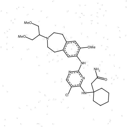 COCC(COC)N1CCc2cc(Nc3ncc(Cl)c(NC4(CC(N)=O)CCCCC4)n3)c(OC)cc2CC1